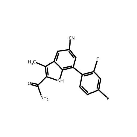 Cc1c(C(N)=O)[nH]c2c(-c3ccc(F)cc3F)cc(C#N)cc12